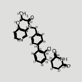 CC1Oc2ccncc2N(Cc2ccc(-c3cccc([C@H]4CCC(=O)NC4=O)c3Cl)cc2)C1=O